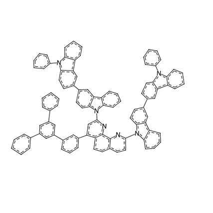 c1ccc(-c2cc(-c3ccccc3)cc(-c3cccc(-c4cc(-n5c6ccccc6c6cc(-c7ccc8c(c7)c7ccccc7n8-c7ccccc7)ccc65)nc5c4ccc4ccc(-n6c7ccccc7c7cc(-c8ccc9c(c8)c8ccccc8n9-c8ccccc8)ccc76)nc45)c3)c2)cc1